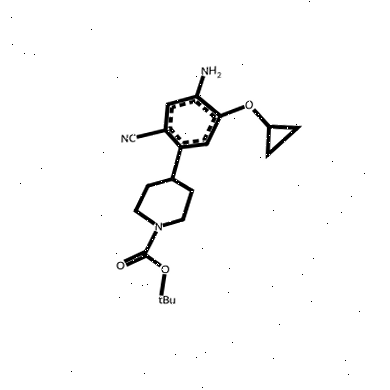 CC(C)(C)OC(=O)N1CCC(c2cc(OC3CC3)c(N)cc2C#N)CC1